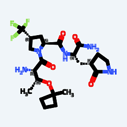 C[C@@H](OC1(C)CCC1)[C@H](N)C(=O)N1C[C@H](C(F)(F)F)C[C@H]1C(=O)N[C@@H](C[C@@H]1CCNC1=O)C(N)=O